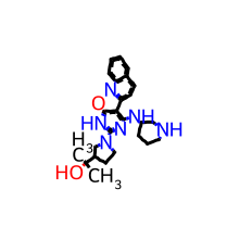 CC(C)(O)C1CCN(c2nc(N[C@@H]3CCCNC3)c(-c3ccc4ccccc4n3)c(=O)[nH]2)C1